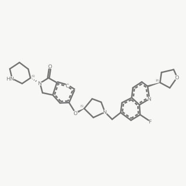 O=C1c2ccc(O[C@H]3CCN(Cc4cc(F)c5nc([C@H]6CCOC6)ccc5c4)C3)cc2CN1[C@H]1CCCNC1